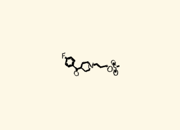 CS(=O)(=O)OCCCN1CCC(C(=O)c2ccc(F)cc2)CC1